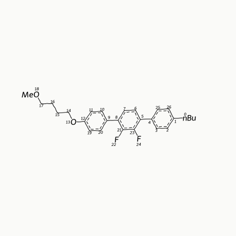 CCCCc1ccc(-c2ccc(-c3ccc(OCCCCOC)cc3)c(F)c2F)cc1